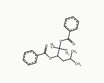 CC(C)CC(OC(=O)c1ccccc1)C(C)(C)OC(=O)c1ccccc1